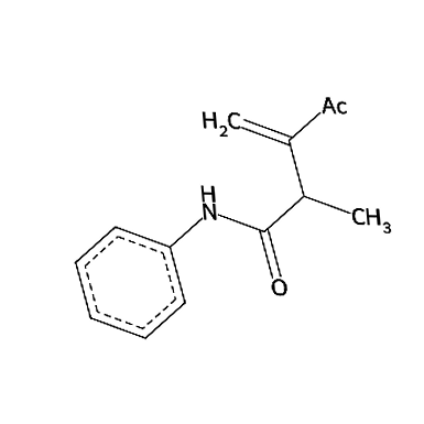 C=C(C(C)=O)C(C)C(=O)Nc1ccccc1